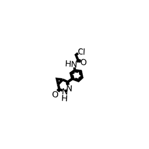 O=C(CCl)Nc1cccc(C2=NNC(=O)C3CC23)c1